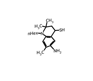 CCCCCCN1c2cc(C)c(N)cc2C(S)CC1(C)C